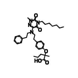 CCCCCCCn1c(=O)c(N(CCc2ccccc2)CCc2ccc(OC(C)(CCC)C(=O)O)cc2)nn(C)c1=O